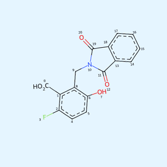 O=C(O)c1c(F)ccc(O)c1CN1C(=O)c2ccccc2C1=O